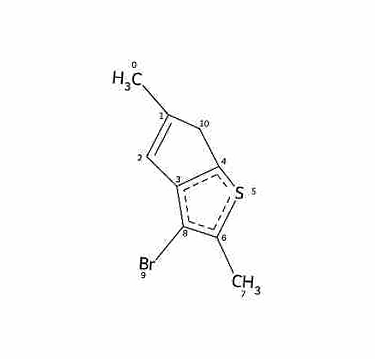 CC1=Cc2c(sc(C)c2Br)C1